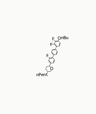 CCCCCC1CCC(c2ccc(-c3ccc(-c4ccc(OCCCC)c(F)c4F)cc3)c(F)c2)OC1